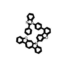 C1=C2c3ccccc3N(c3ccc4c(c3)oc3cccc(-c5ccc(-n6c(-c7ccccc7)nc7ccccc76)cc5)c34)C2C=c2oc3ccccc3c2=C1